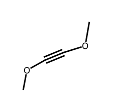 COC#COC